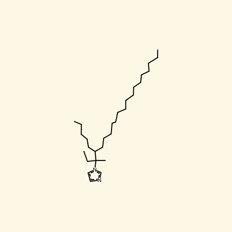 CCCCCCCCCCCCCCCCC(CCCCC)C(C)(CC)n1ccnc1